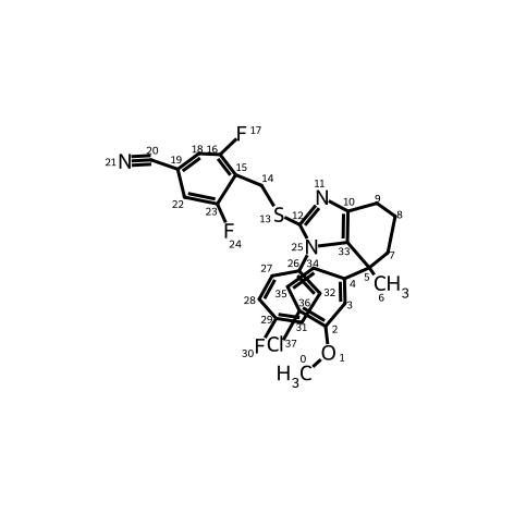 COc1cc(C2(C)CCCc3nc(SCc4c(F)cc(C#N)cc4F)n(-c4ccc(F)cc4)c32)ccc1Cl